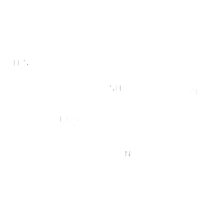 Nc1ccc(Nc2c(C(=O)O)cnc3ccc(Cl)cc23)cc1